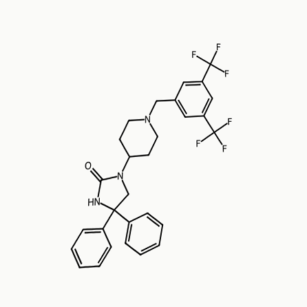 O=C1NC(c2ccccc2)(c2ccccc2)CN1C1CCN(Cc2cc(C(F)(F)F)cc(C(F)(F)F)c2)CC1